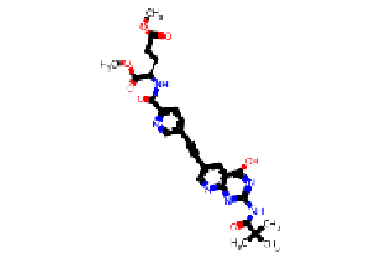 COC(=O)CC[C@@H](NC(=O)c1ccc(C#Cc2cnc3nc(NC(=O)C(C)(C)C)nc(O)c3c2)cn1)C(=O)OC